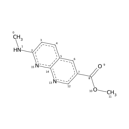 CNc1ccc2cc(C(=O)OC)cnc2n1